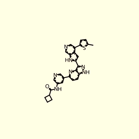 Cc1ccc(-c2cncc3[nH]c(-c4n[nH]c5ccc(-c6cncc(NC(=O)C7CCC7)c6)nc45)cc23)s1